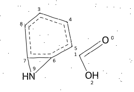 O=CO.c1ccc2c(c1)N2